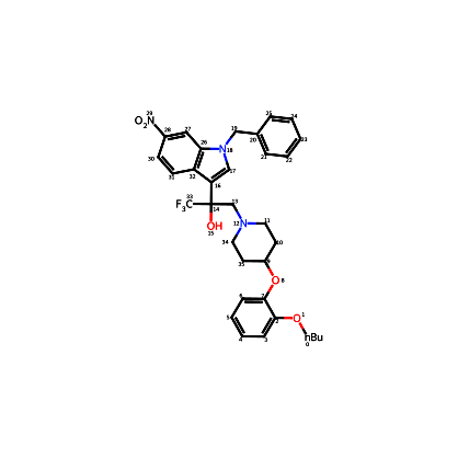 CCCCOc1ccccc1OC1CCN(CC(O)(c2cn(Cc3ccccc3)c3cc([N+](=O)[O-])ccc23)C(F)(F)F)CC1